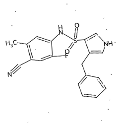 Cc1cc(NS(=O)(=O)c2c[nH]cc2Cc2ccccc2)c(F)cc1C#N